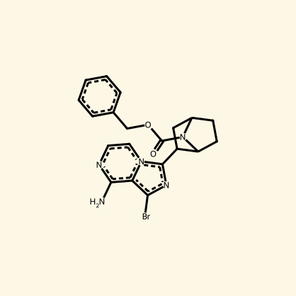 Nc1nccn2c(C3CC4CCC3N4C(=O)OCc3ccccc3)nc(Br)c12